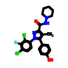 Cc1c(C(=O)NN2CCCCC2)nn(-c2ccc(Cl)c(F)c2Cl)c1-c1ccc(O)cc1